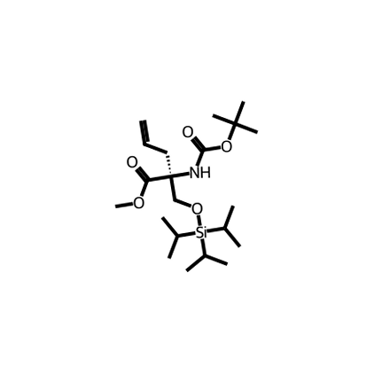 C=CC[C@@](CO[Si](C(C)C)(C(C)C)C(C)C)(NC(=O)OC(C)(C)C)C(=O)OC